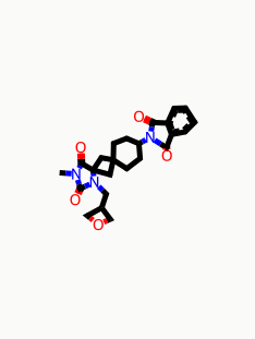 CN1C(=O)N(CC2COC2)C2(CC3(CCC(N4C(=O)c5ccccc5C4=O)CC3)C2)C1=O